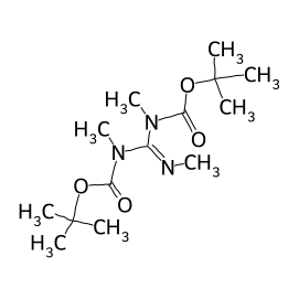 CN=C(N(C)C(=O)OC(C)(C)C)N(C)C(=O)OC(C)(C)C